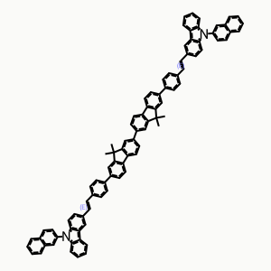 CC1(C)c2cc(-c3ccc(/C=C/c4ccc5c(c4)c4ccccc4n5-c4ccc5ccccc5c4)cc3)ccc2-c2ccc(-c3ccc4c(c3)C(C)(C)c3cc(-c5ccc(/C=C/c6ccc7c(c6)c6ccccc6n7-c6ccc7ccccc7c6)cc5)ccc3-4)cc21